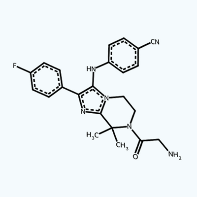 CC1(C)c2nc(-c3ccc(F)cc3)c(Nc3ccc(C#N)cc3)n2CCN1C(=O)CN